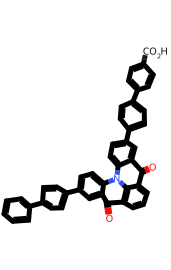 O=C(O)c1ccc(-c2ccc(-c3ccc4c(c3)c(=O)c3cccc5c(=O)c6cc(-c7ccc(-c8ccccc8)cc7)ccc6n4c53)cc2)cc1